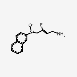 NC/C=C(\F)C[S+]([O-])c1ccc2ccccc2c1